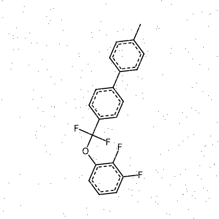 Cc1ccc(-c2ccc(C(F)(F)Oc3cccc(F)c3F)cc2)cc1